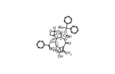 CC1=C2C(=O)[C@H](O)[C@]3(C)[C@@H](OC(c4ccccc4)(c4ccccc4)C(C)(C)C)C[C@H]4OC[C@@]4(C)[C@H]3[C@H](OC(=O)c3ccccc3)[C@](O)(C[C@@H]1O)C2(C)C